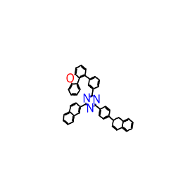 C1=CC(c2ccc(-c3nc(-c4cccc(-c5cccc6oc7ccccc7c56)c4)nc(-c4ccc5ccccc5c4)n3)cc2)Cc2ccccc21